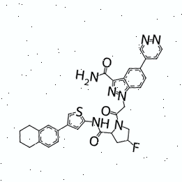 NC(=O)c1nn(CC(=O)N2CC(F)CC2C(=O)Nc2cc(-c3ccc4c(c3)CCCC4)cs2)c2ccc(-c3ccnnc3)cc12